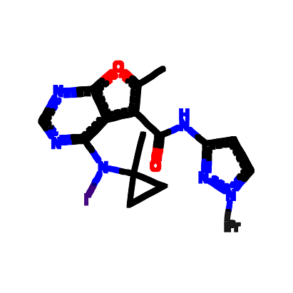 Cc1oc2ncnc(N(I)C3(C)CC3)c2c1C(=O)Nc1ccn(C(C)C)n1